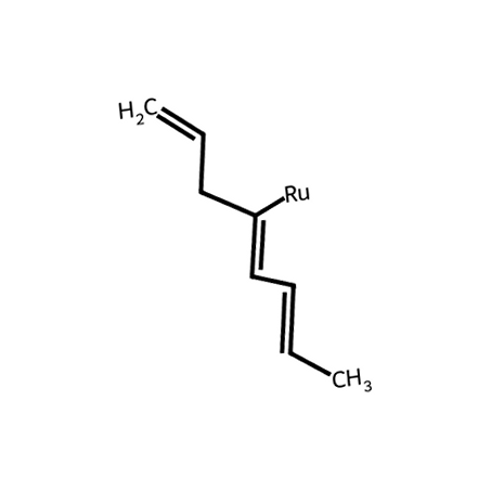 C=CC[C]([Ru])=CC=CC